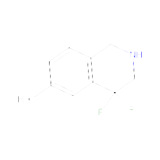 Cc1ccc2c(c1)C(F)(F)CNC2